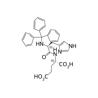 O=C(O)CC[C@H](NC(=O)[C@H](Cc1c[nH]cn1)NC(c1ccccc1)(c1ccccc1)c1ccccc1)C(=O)O